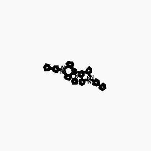 c1ccc(-c2ccc(-c3nc4nc(n3)c3ccccc3c3cc(cc5c6cc7cc(c8ccccc8c8nc(-c9ccc(-c%10ccccc%10)cc9)nc(n8)c8ccccc78)c6n(-c6ccccc6)c35)c3ccccc43)cc2)cc1